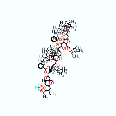 C=C(OS(=O)(=O)C(F)(F)F)C(C)C[C@H]1CC[C@@H]2O[C@@H](CCC(C=CC(O[Si](C)(C)C(C)(C)C)[C@@H]3O[C@H]4CC[C@H](CC(O)C(C5[C@H](CCO[Si](CC)(CC)CC)O[C@H](CC(CO[Si](C)(C)C(C)(C)C)O[Si](C)(C)C(C)(C)C)[C@@H]5OC)S(=O)(=O)c5ccccc5)O[C@@H]4[C@H](O[Si](C)(C)C(C)(C)C)[C@@H]3O[Si](C)(C)C(C)(C)C)OC(=O)c3ccccc3)C[C@]2(CI)O1